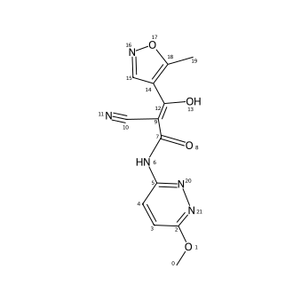 COc1ccc(NC(=O)/C(C#N)=C(\O)c2cnoc2C)nn1